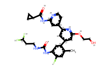 Cc1cc(F)c(NC(=O)NCCC(F)F)cc1-c1cc(OCCO)nc(-c2ccnc(NC(=O)C3CC3)c2)c1